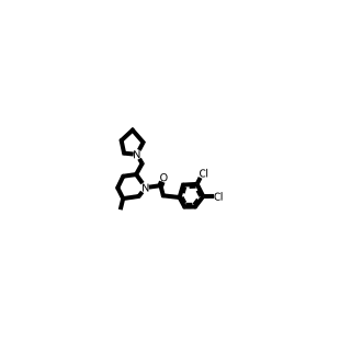 CC1CCC(CN2CCCC2)N(C(=O)Cc2ccc(Cl)c(Cl)c2)C1